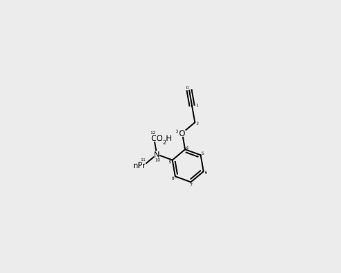 C#CCOc1ccccc1N(CCC)C(=O)O